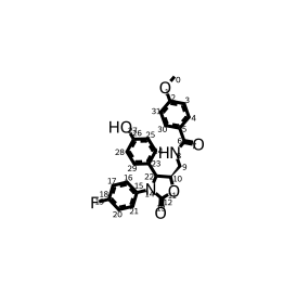 COc1ccc(C(=O)NC[C@H]2OC(=O)N(c3ccc(F)cc3)C2c2ccc(O)cc2)cc1